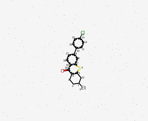 CCC1CCc2c(sc3cc(-c4ccc(Cl)cc4)ccc3c2=O)C1